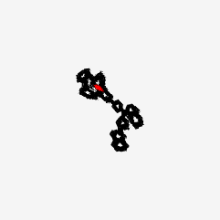 c1cc(-c2ccc(N(c3ccc(-c4ccc5ccccc5c4)cc3)c3cccc4ccccc34)cc2)cc(-c2ccccc2-n2c3ccccc3c3ccccc32)c1